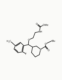 COC(=O)NCCOC(c1cc(C)ccc1F)C1CCCN(C(=O)OC(C)(C)C)C1